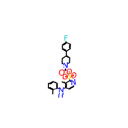 Cc1ccccc1Nc1ccnc(S(=O)(=O)OC(=O)N2CCC(c3ccc(F)cc3)CC2)c1C